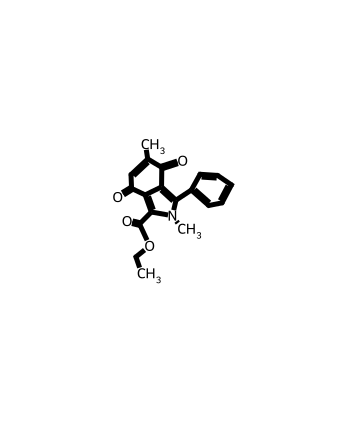 CCOC(=O)c1c2c(c(-c3ccccc3)n1C)C(=O)C(C)=CC2=O